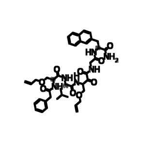 C=CCOCC(NC(=O)[C@H](CC(C)C)NC(=O)[C@H](COCC=C)NC(=O)Cc1ccccc1)C(=O)C(=O)NCC(=O)N[C@@H](Cc1ccc2ccccc2c1)C(N)=O